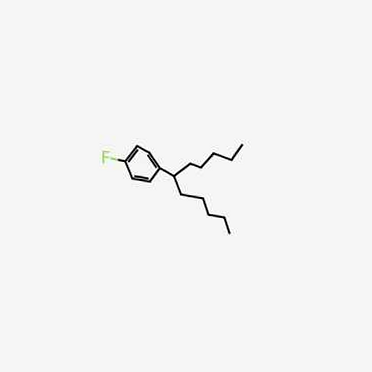 CCCCCC(CCCCC)c1ccc(F)cc1